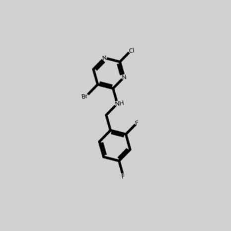 Fc1ccc(CNc2nc(Cl)ncc2Br)c(F)c1